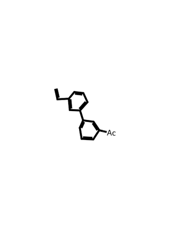 C=Cc1cccc(-c2cccc(C(C)=O)c2)c1